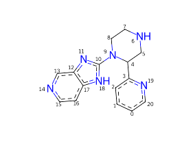 c1ccc(C2CNCCN2c2nc3cnccc3[nH]2)nc1